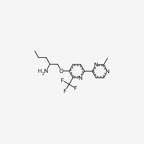 CCCC(N)COc1ccc(-c2ccnc(C)n2)nc1C(F)(F)F